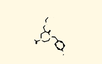 CCNCC1CN(C(=O)O)CCN(Cc2ccc(OC)cc2)C1=O